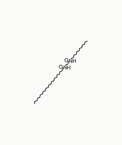 CCCCCCCCCCCCCCCCCCCCCC(=O)NCCC(=O)NCCCCCCCCCCCC